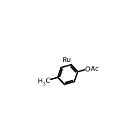 CC(=O)Oc1ccc(C)cc1.[Ru]